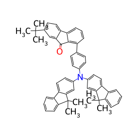 CC(C)(C)c1ccc2c(c1)C(=O)c1c(-c3ccc(N(c4ccc5c(c4)C(C)(C)c4ccccc4-5)c4ccc5c(c4)C(C)(C)c4ccccc4-5)cc3)cccc1-2